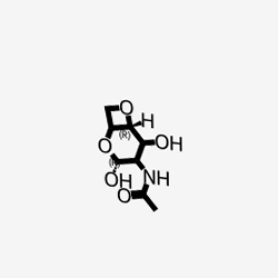 CC(=O)NC1C(O)[C@H]2OCC2O[C@H]1O